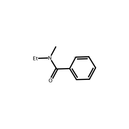 CCN(C)C(=O)c1[c]cccc1